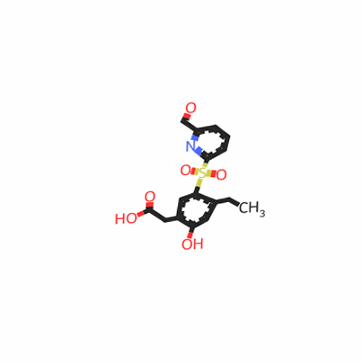 CCc1cc(O)c(CC(=O)O)cc1S(=O)(=O)c1cccc(C=O)n1